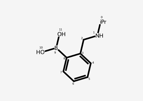 CC(C)NCc1ccccc1B(O)O